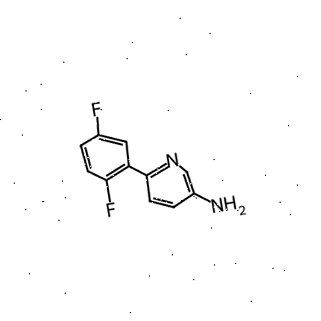 Nc1ccc(-c2cc(F)ccc2F)nc1